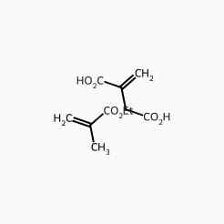 C=C(C)C(=O)OCC.C=C(CC(=O)O)C(=O)O